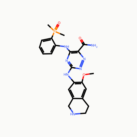 COc1cc2c(cc1Nc1nnc(C(N)=O)c(Nc3ccccc3P(C)(C)=O)n1)CNCC2